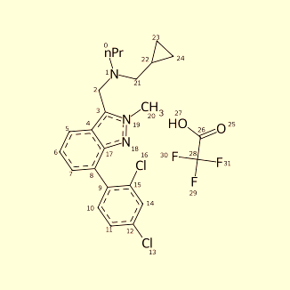 CCCN(Cc1c2cccc(-c3ccc(Cl)cc3Cl)c2nn1C)CC1CC1.O=C(O)C(F)(F)F